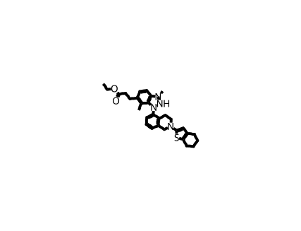 CCOC(=O)CCc1ccc2c(c1C)N(c1cccc3c1CCN(c1cc4c(s1)CCCC4)C3)NN2C